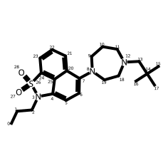 CCCN1c2ccc(N3CCCN(CC(C)(C)C)CC3)c3cccc(c23)S1(=O)=O